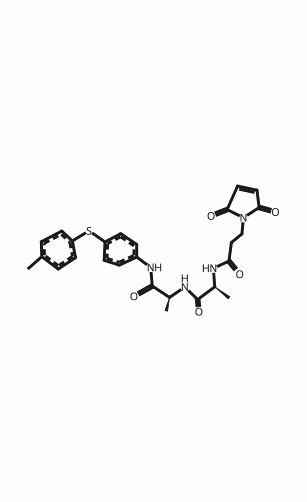 Cc1ccc(Sc2ccc(NC(=O)[C@H](C)NC(=O)[C@H](C)NC(=O)CCN3C(=O)C=CC3=O)cc2)cc1